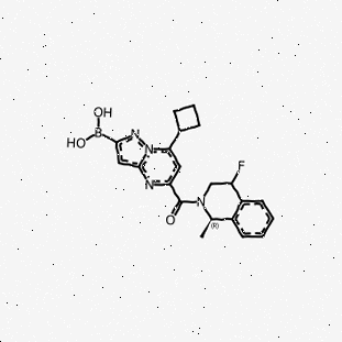 C[C@@H]1c2ccccc2C(F)CN1C(=O)c1cc(C2CCC2)n2nc(B(O)O)cc2n1